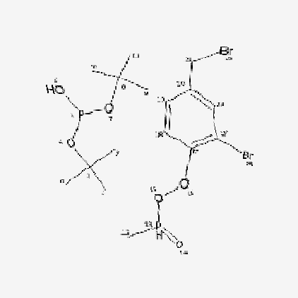 CC(C)(C)OP(O)OC(C)(C)C.C[PH](=O)OOc1ccc(CBr)cc1Br